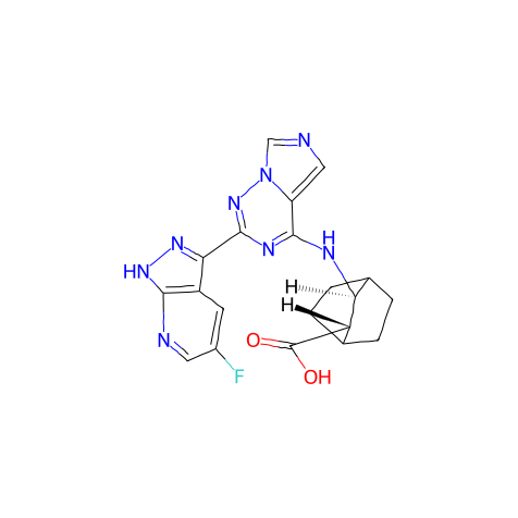 O=C(O)[C@H]1C2CCC(CC2)[C@@H]1Nc1nc(-c2n[nH]c3ncc(F)cc23)nn2cncc12